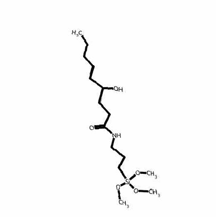 CCCCCC(O)CCC(=O)NCCC[Si](OC)(OC)OC